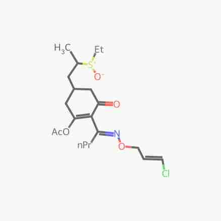 CCCC(=NOCC=CCl)C1=C(OC(C)=O)CC(CC(C)[S+]([O-])CC)CC1=O